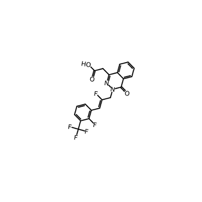 O=C(O)Cc1nn(CC(F)=Cc2cccc(C(F)(F)F)c2F)c(=O)c2ccccc12